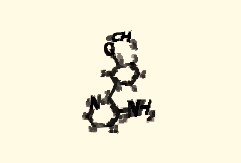 COc1cccc(-c2ncc[c]c2N)c1